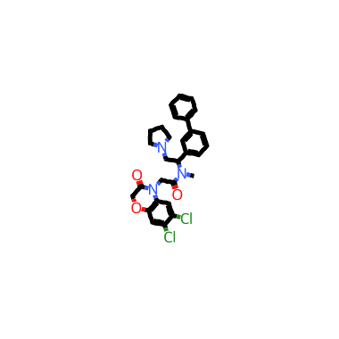 CN(C(=O)CN1C(=O)COc2cc(Cl)c(Cl)cc21)C(CN1CCCC1)c1cccc(-c2ccccc2)c1